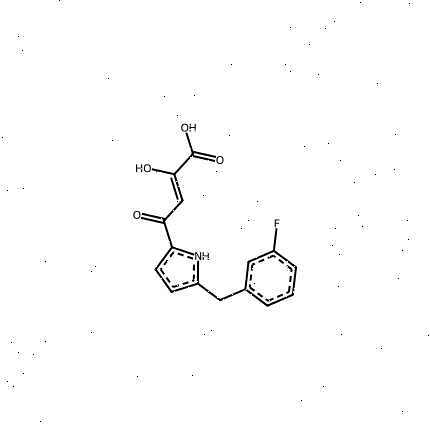 O=C(O)C(O)=CC(=O)c1ccc(Cc2cccc(F)c2)[nH]1